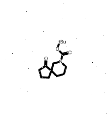 CC(C)(C)OC(=O)N1CCCC2(CCCC2=O)C1